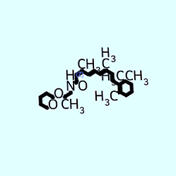 CC(C=CC1=C(C)CCCC1(C)C)=CC=C/C(C)=C\C(=O)NCC(C)OC1CCCCO1